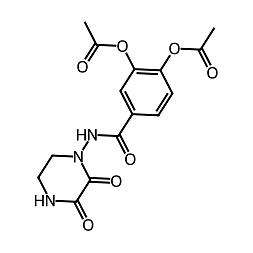 CC(=O)Oc1ccc(C(=O)NN2CCNC(=O)C2=O)cc1OC(C)=O